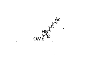 COCC(=O)NCCOCCC(C)=O